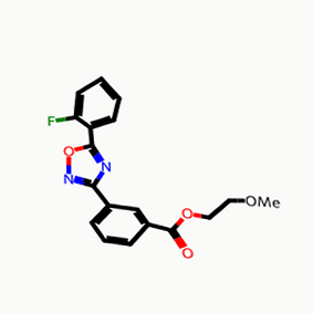 COCCOC(=O)c1cccc(-c2noc(-c3ccccc3F)n2)c1